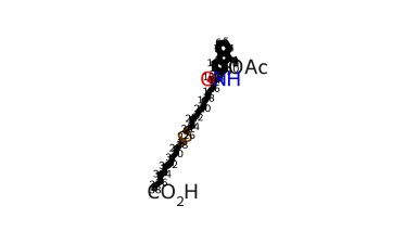 CC(=O)OCC1c2ccccc2-c2ccc(NC(=O)CCCCCCCCCCSSCCCCCCCCCCC(=O)O)cc21